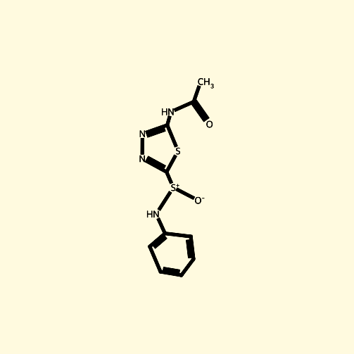 CC(=O)Nc1nnc([S+]([O-])Nc2ccccc2)s1